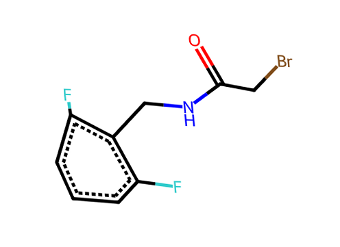 O=C(CBr)NCc1c(F)cccc1F